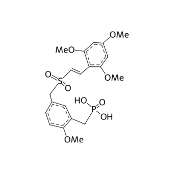 COc1cc(OC)c(/C=C/S(=O)(=O)Cc2ccc(OC)c(CP(=O)(O)O)c2)c(OC)c1